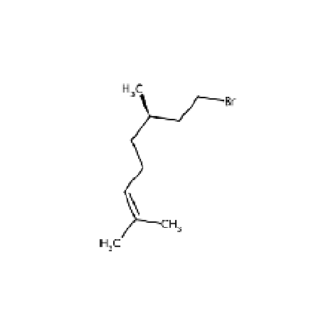 CC(C)=CCC[C@@H](C)CCBr